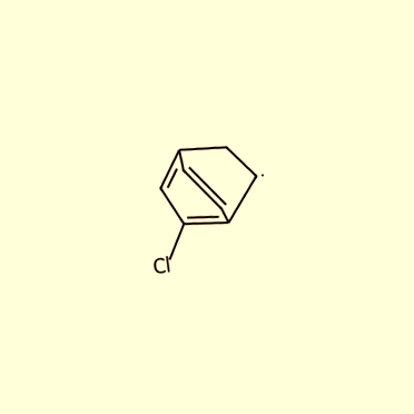 Clc1cc2ccc1[CH]C2